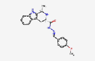 COc1ccc(/C=N/NC(=O)[C@@H]2Cc3c([nH]c4ccccc34)[C@H](C)N2)cc1